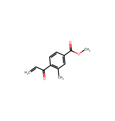 C=CC(=O)c1ccc(C(=O)OC)cc1C